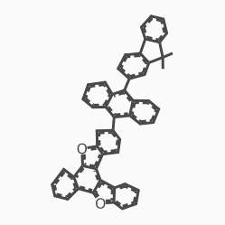 CC1(C)c2ccccc2-c2ccc(-c3c4ccccc4c(-c4ccc5c(c4)oc4c6ccccc6c6oc7ccccc7c6c54)c4ccccc34)cc21